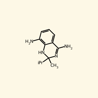 CC(C)C1(C)N=C(N)c2cccc(N)c2N1